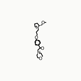 COC[C@@H]1CCCN1CCCOc1ccc(C(=O)CN2CCOCC2)cc1